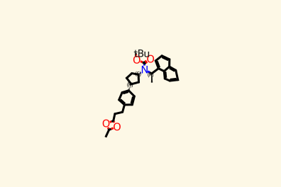 CC1OC(CCc2ccc([C@@H]3CC[C@H](N(C(=O)OC(C)(C)C)[C@H](C)c4cccc5ccccc45)C3)cc2)O1